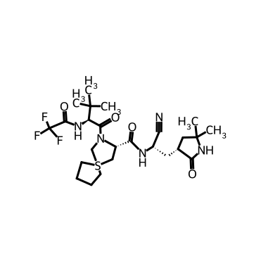 CC1(C)C[C@@H](C[C@@H](C#N)NC(=O)[C@@H]2CS3(CCCC3)CN2C(=O)[C@@H](NC(=O)C(F)(F)F)C(C)(C)C)C(=O)N1